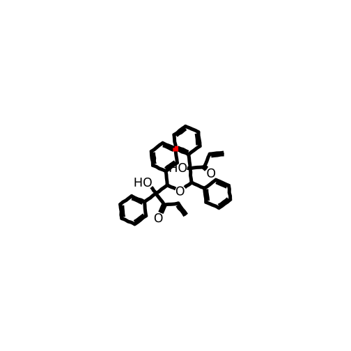 C=CC(=O)C(O)(c1ccccc1)C(OC(c1ccccc1)C(O)(C(=O)C=C)c1ccccc1)c1ccccc1